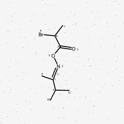 C/C(=N\OC(=O)C(C)Br)C(C)C